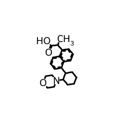 CC(C(=O)O)c1cccc2c(C3CCCCC3N3CCOCC3)cccc12